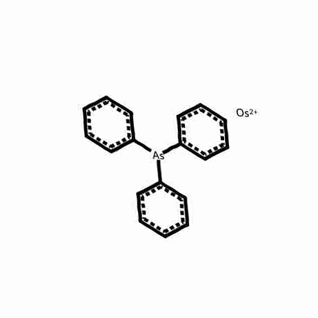 [Os+2].c1ccc([As](c2ccccc2)c2ccccc2)cc1